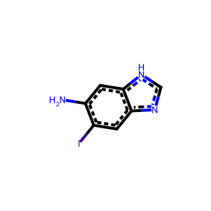 Nc1cc2[nH]cnc2cc1I